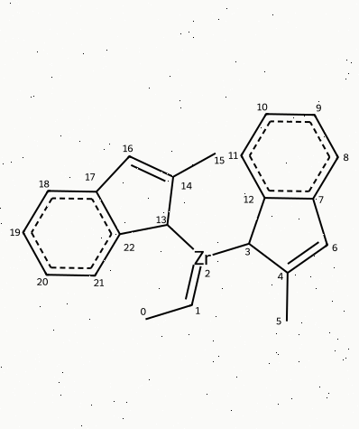 C[CH]=[Zr]([CH]1C(C)=Cc2ccccc21)[CH]1C(C)=Cc2ccccc21